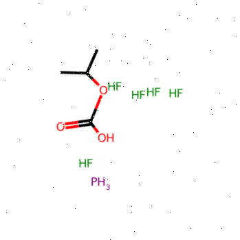 CC(C)OC(=O)O.F.F.F.F.F.P